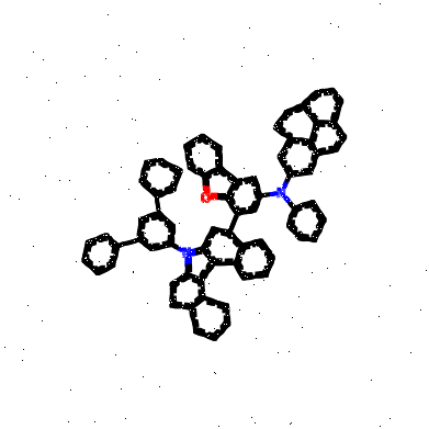 c1ccc(-c2cc(-c3ccccc3)cc(-n3c4ccc5ccccc5c4c4c5ccccc5c(-c5cc(N(c6ccccc6)c6cc7ccc8cccc9ccc(c6)c7c89)cc6c5oc5ccccc56)cc43)c2)cc1